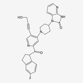 O=C(c1cc(N2CCC(n3c(=O)[nH]c4ncccc43)CC2)c(C#CCO)cn1)C1CCc2cc(F)ccc21